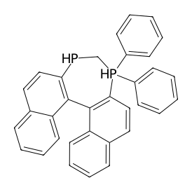 c1ccc([PH]2(c3ccccc3)CPc3ccc4ccccc4c3-c3c2ccc2ccccc32)cc1